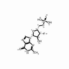 Cc1nc2c(ncn2[C@@H]2O[C@H](COP(O)(O)=S)[C@H](F)C2O)c(=O)[nH]1